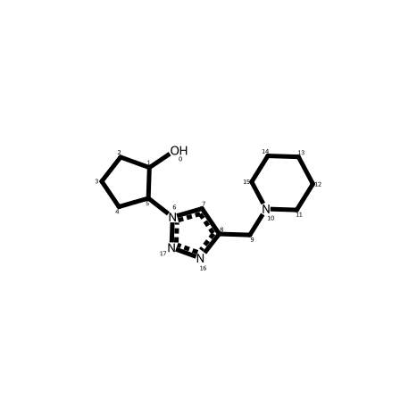 OC1CCCC1n1cc(CN2CCCCC2)nn1